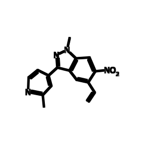 C=Cc1cc2c(-c3ccnc(C)c3)nn(C)c2cc1[N+](=O)[O-]